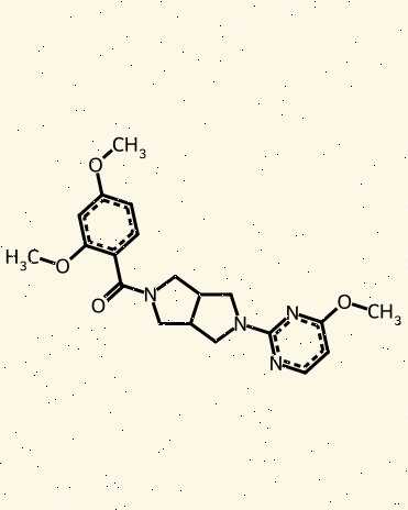 COc1ccc(C(=O)N2CC3CN(c4nccc(OC)n4)CC3C2)c(OC)c1